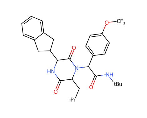 CC(C)CC1C(=O)NC(C2Cc3ccccc3C2)C(=O)N1C(C(=O)NC(C)(C)C)c1ccc(OC(F)(F)F)cc1